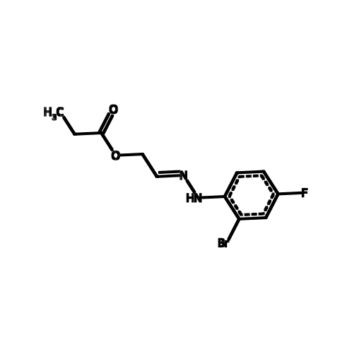 CCC(=O)OCC=NNc1ccc(F)cc1Br